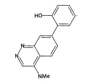 CNc1cnnc2cc(-c3c[c]ccc3O)ccc12